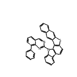 c1ccc(-c2cccc3cnc(-n4c5ccccc5c5ccc6sc7cc8ccccc8cc7c6c54)nc23)cc1